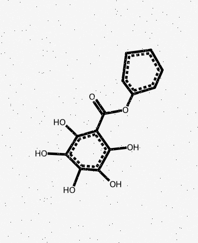 O=C(Oc1ccccc1)c1c(O)c(O)c(O)c(O)c1O